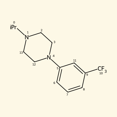 CC(C)N1CCN(c2cccc(C(F)(F)F)c2)CC1